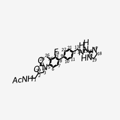 CC(=O)NCC1CN(c2ccc(-c3ccc(CNNC4=NCCN4)cc3)c(F)c2C)C(=O)O1